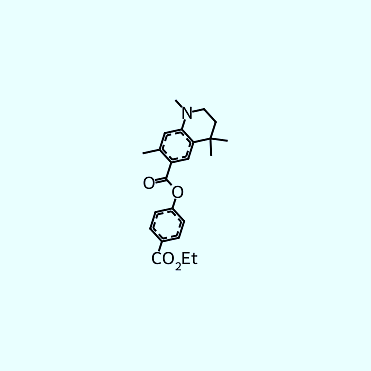 CCOC(=O)c1ccc(OC(=O)c2cc3c(cc2C)N(C)CCC3(C)C)cc1